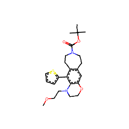 COCCN1CCOc2cc3c(c(-c4cccs4)c21)CCN(C(=O)OC(C)(C)C)CC3